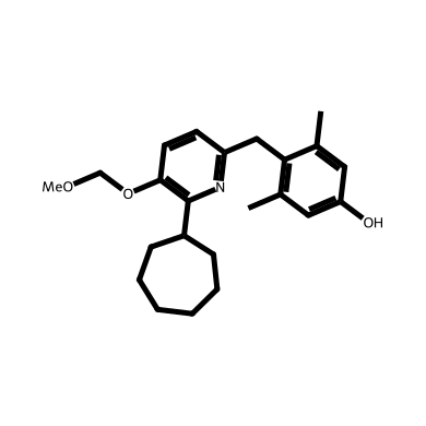 COCOc1ccc(Cc2c(C)cc(O)cc2C)nc1C1CCCCCC1